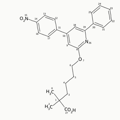 CC(C)(CCCCOc1cc(-c2ccc([N+](=O)[O-])cc2)cc(-c2ccccc2)n1)C(=O)O